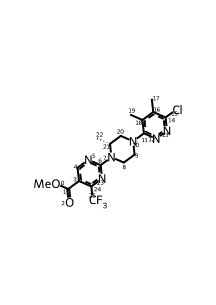 COC(=O)c1cnc(N2CCN(c3nnc(Cl)c(C)c3C)C[C@H]2C)nc1C(F)(F)F